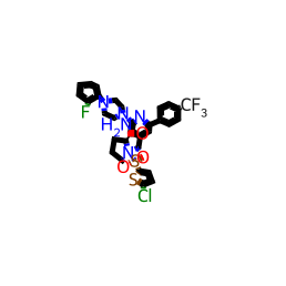 NC(=O)[C@@H]1CCC[N+]1(Cc1cc(-c2ccc(C(F)(F)F)cc2)nc(N2CCN(c3ccccc3F)CC2)c1)S(=O)(=O)c1ccc(Cl)s1